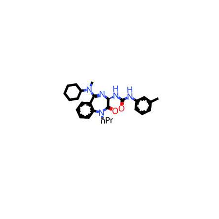 CCCN1C(=O)[C@H](NC(=O)Nc2cccc(C)c2)N=C(N(C)C2CCCCC2)c2ccccc21